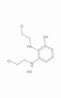 Cl.Oc1cccc(NCCCl)c1NCCCl